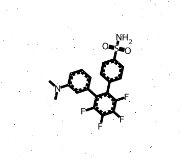 CN(C)c1cccc(-c2c(F)c(F)c(F)c(F)c2-c2ccc(S(N)(=O)=O)cc2)c1